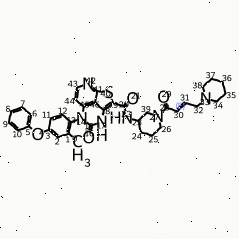 Cc1cc(Oc2ccccc2)ccc1N1C(=O)Nc2c(C(=O)NC3CCCN(C(=O)/C=C/CN4CCCCC4)C3)sc3nccc1c23